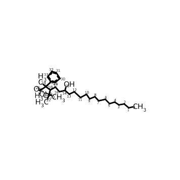 CCCCCCCCCCCCCCC(O)CCC(C(C)(C)C)C(C)(C(=O)O)c1ccccc1